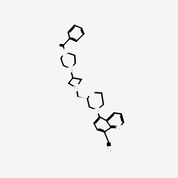 C[C@@H]1CN(c2ccc(C#N)c3ncccc23)C[C@@H](CN2CC(N3CCN(C(=O)c4ccccc4)CC3)C2)O1